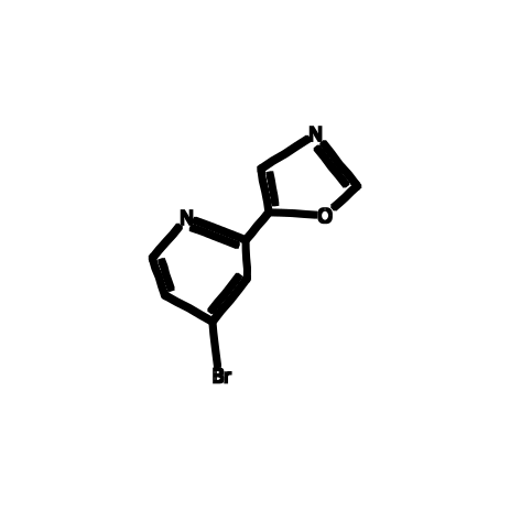 Brc1ccnc(-c2cnco2)c1